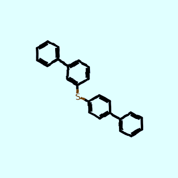 c1ccc(-c2ccc(Sc3cccc(-c4ccccc4)c3)cc2)cc1